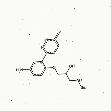 CC(C)(C)NCC(O)COc1ccc(N)cc1-c1ccc(=S)[nH]n1